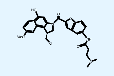 COc1ccc2c(O)cc3c(c2c1)[C@H](CCl)CN3C(=O)c1cc2cc(NC(=O)CCN(C)C)ccc2s1